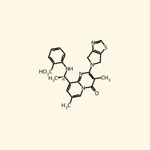 Cc1cc([C@@H](C)Nc2ccccc2C(=O)O)c2nc(N3Cc4ncsc4C3)c(C)c(=O)n2c1